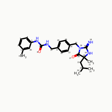 Bc1cccc(NC(=O)NCc2ccc(CN3C(=N)NC(C)(CC(C)C)C3=O)cc2)c1